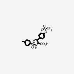 Cc1ccc(S(=O)(=O)NC(C(=O)O)C(C)c2ccc(OS(=O)(=O)C(F)(F)F)cc2)cc1